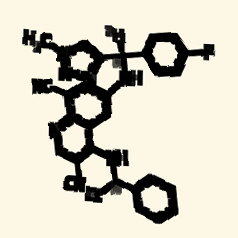 [2H][C@](Nc1cc(C#N)c2ncc(C#N)c(N[C@H](CC)c3ccccc3)c2c1)(c1ccc(F)cc1)c1cn(C)nn1